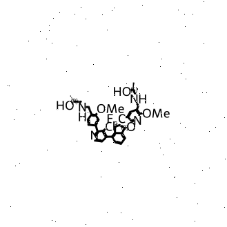 COc1cc(-c2nccc(-c3cccc4c3CC[C@H]4Oc3nc(OC)c(CNC[C@H](C)O)cc3C(F)(F)F)c2Cl)ccc1CNC[C@@H](C)O